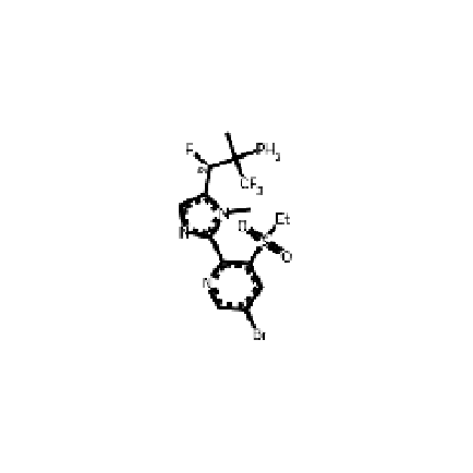 CCS(=O)(=O)c1cc(Br)cnc1-c1ncc([C@@H](F)C(C)(P)C(F)(F)F)n1C